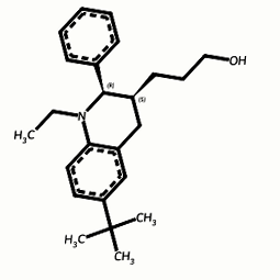 CCN1c2ccc(C(C)(C)C)cc2C[C@H](CCCO)[C@@H]1c1ccccc1